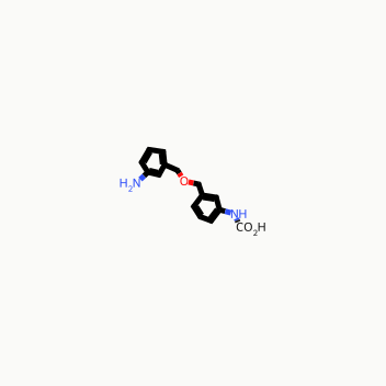 Nc1cccc(COCc2cccc(NC(=O)O)c2)c1